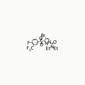 CCN(CC)C(=O)n1cc(Br)c(S(=O)(=O)c2ccc(F)c(C(F)(F)F)c2)n1